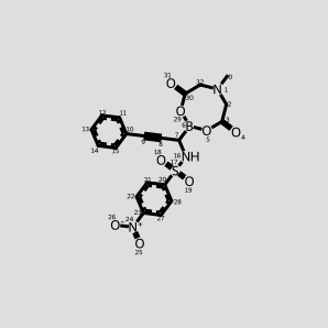 CN1CC(=O)OB(C(C#Cc2ccccc2)NS(=O)(=O)c2ccc([N+](=O)[O-])cc2)OC(=O)C1